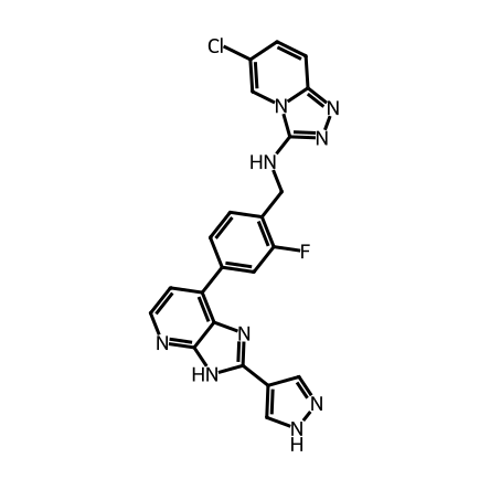 Fc1cc(-c2ccnc3[nH]c(-c4cn[nH]c4)nc23)ccc1CNc1nnc2ccc(Cl)cn12